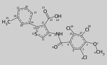 COc1c(Cl)cc(C(=O)Nc2csc(-c3cccc(C)c3)c2C(=O)O)c(Cl)c1Cl